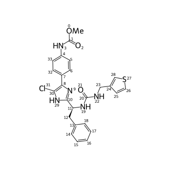 COC(=O)Nc1ccc(-c2nc([C@H](Cc3ccccc3)NC(=O)NCc3ccsc3)[nH]c2Cl)cc1